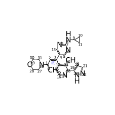 C=C(/C=C(/c1cnc(NC2CC2)nc1)c1ccnc(-c2ccn[nH]2)c1C)N1CCOCC1